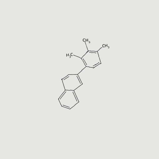 Cc1ccc(-c2ccc3ccccc3c2)c(C)c1C